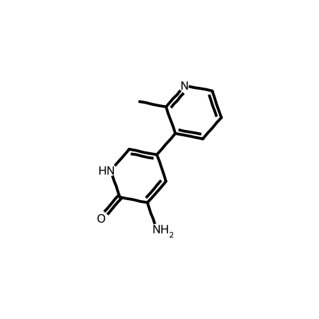 Cc1ncccc1-c1c[nH]c(=O)c(N)c1